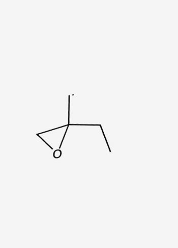 [CH2]C1(CC)CO1